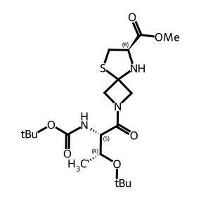 COC(=O)[C@@H]1CSC2(CN(C(=O)[C@@H](NC(=O)OC(C)(C)C)[C@@H](C)OC(C)(C)C)C2)N1